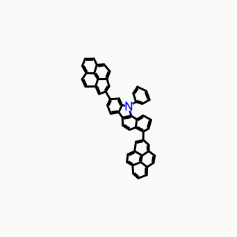 c1ccc(-n2c3cc(-c4cc5ccc6cccc7ccc(c4)c5c67)ccc3c3ccc4c(-c5cc6ccc7cccc8ccc(c5)c6c78)cccc4c32)cc1